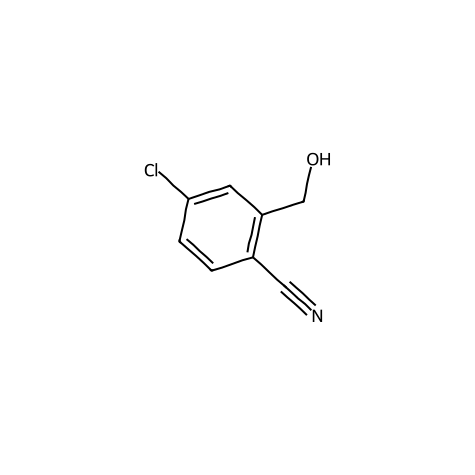 N#Cc1ccc(Cl)cc1CO